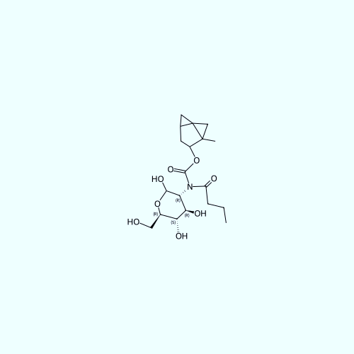 CCCC(=O)N(C(=O)OC1CC2CC23CC13C)[C@H]1C(O)O[C@H](CO)[C@@H](O)[C@@H]1O